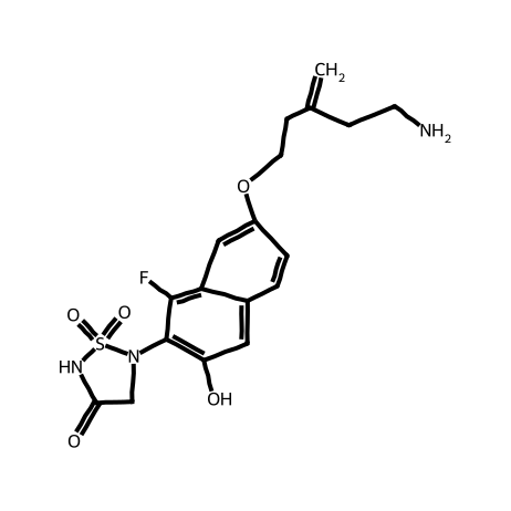 C=C(CCN)CCOc1ccc2cc(O)c(N3CC(=O)NS3(=O)=O)c(F)c2c1